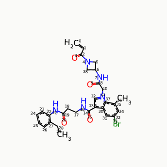 C=CC(=O)N1CC(NC(=O)Cn2cc(C(=O)NCCC(=O)Nc3ccccc3CC)c3cc(Br)cc(C)c32)C1